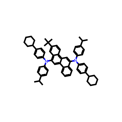 CC(C)c1ccc(N(c2ccc(C3CCCCC3)cc2)c2cc3c4ccc(C(C)(C)C)cc4c(N(c4ccc(C(C)C)cc4)c4ccc(C5CCCCC5)cc4)cc3c3ccccc23)cc1